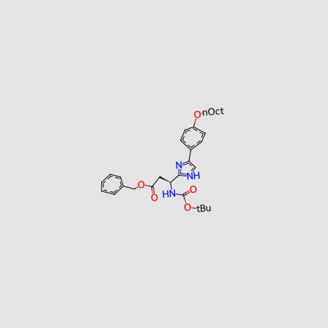 CCCCCCCCOc1ccc(-c2c[nH]c([C@H](CC(=O)OCc3ccccc3)NC(=O)OC(C)(C)C)n2)cc1